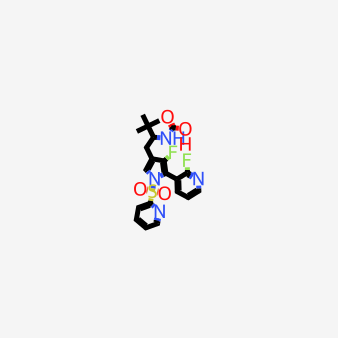 CC(C)(C)C(Cc1cn(S(=O)(=O)c2ccccn2)c(-c2cccnc2F)c1F)NC(=O)O